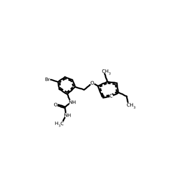 CCc1ccc(OCc2ccc(Br)cc2NC(=O)NC)c(C)c1